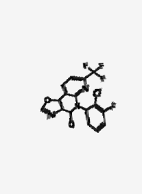 O=c1c2ncoc2c2ccc(C(F)(F)F)nc2n1-c1cccc(F)c1Cl